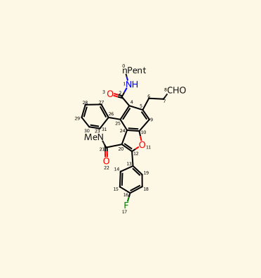 CCCCCNC(=O)c1c(CCC=O)cc2oc(-c3ccc(F)cc3)c(C(=O)NC)c2c1-c1ccccc1